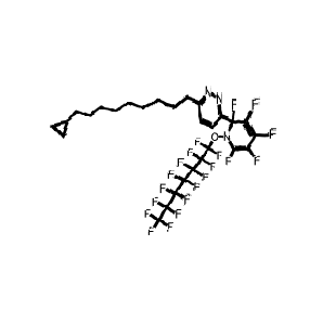 FC1=C(F)N(OC(F)(F)C(F)(F)C(F)(F)C(F)(F)C(F)(F)C(F)(F)C(F)(F)F)C(F)(c2ccc(CCCCCCCCCC3CC3)nn2)C(F)=C1F